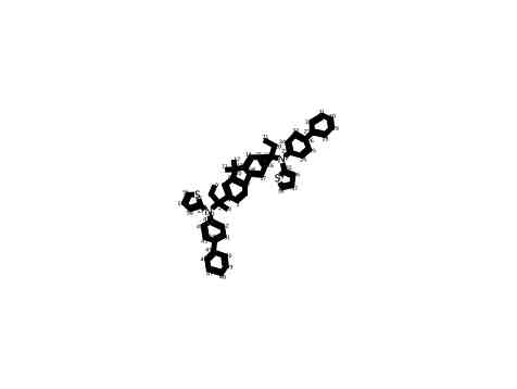 CCC(C)(c1ccc2c(c1)C(C)(C)c1cc3c(cc1-2)C3(CC)N(c1ccc(-c2ccccc2)cc1)c1cccs1)N(c1ccc(-c2ccccc2)cc1)c1cccs1